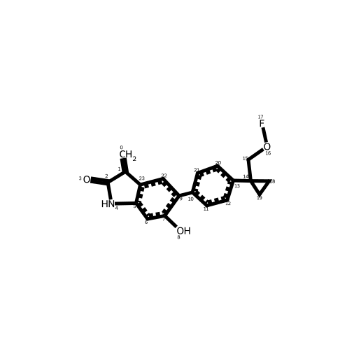 C=C1C(=O)Nc2cc(O)c(-c3ccc(C4(COF)CC4)cc3)cc21